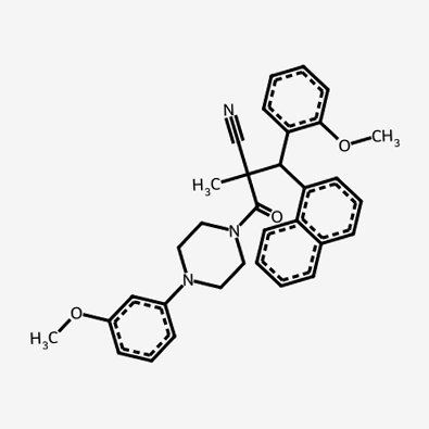 COc1cccc(N2CCN(C(=O)C(C)(C#N)C(c3ccccc3OC)c3cccc4ccccc34)CC2)c1